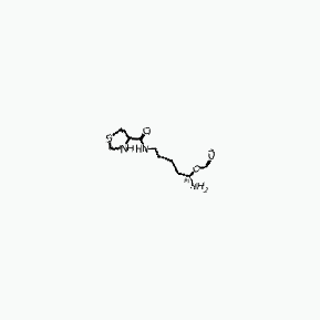 N[C@@H](CCCCNC(=O)C1CSCN1)OC=O